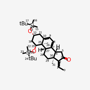 C/C=C1\C(=O)C[C@H]2C3=CC=C4C[C@@H](O[Si](C)(C)C(C)(C)C)C[C@H](O[Si](C)(C)C(C)(C)C)[C@]4(C)[C@H]3CC[C@]12C